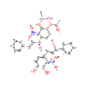 CC(=O)Oc1ccc(C(=O)C=Cc2ccccc2)c([N+](=O)[O-])c1OC(C)=O.O=C(C=Cc1ccc(O)c(O)c1[N+](=O)[O-])c1ccccc1